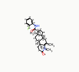 CC1=C2N(C)C(=O)CC[C@]2(C)[C@H]2CC[C@]3(C)[C@@H](C(=O)Nc4ccccc4F)CC[C@H]3[C@@H]2C1